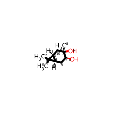 CC1(C)[C@@H]2C[C@H](O)[C@@](C)(O)C[C@@H]21